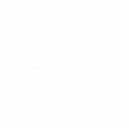 CCN(C)C=Nc1ccc(Nc2ccc(C)cc2)c2c1CCC2